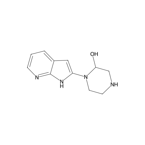 OC1CNCCN1c1cc2cccnc2[nH]1